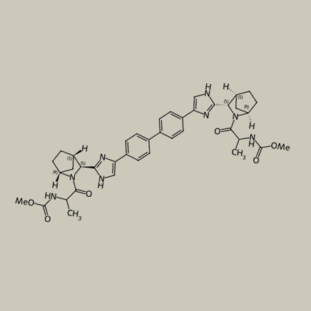 COC(=O)NC(C)C(=O)N1[C@@H]2CC[C@@H](C2)[C@H]1c1nc(-c2ccc(-c3ccc(-c4c[nH]c([C@@H]5[C@H]6CC[C@H](C6)N5C(=O)C(C)NC(=O)OC)n4)cc3)cc2)c[nH]1